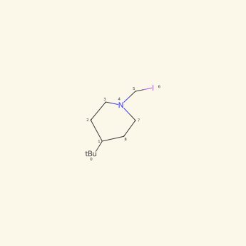 CC(C)(C)C1CCN(CI)CC1